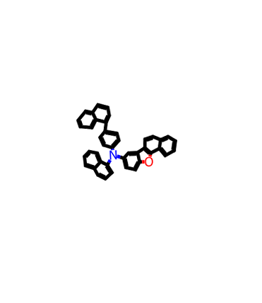 c1ccc2c(-c3ccc(N(c4ccc5oc6c7ccccc7ccc6c5c4)c4cccc5ccccc45)cc3)cccc2c1